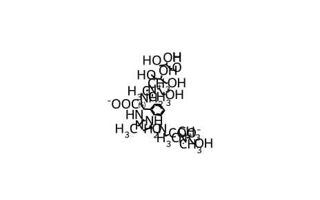 CN1CC(=O)NC1=N.C[N+](C)(C)CCO.C[N+](C)(C)CCO.NCC(=O)[O-].N[C@@H](Cc1ccccc1)C(=O)[O-].OCC(O)CO.OCC(O)CO